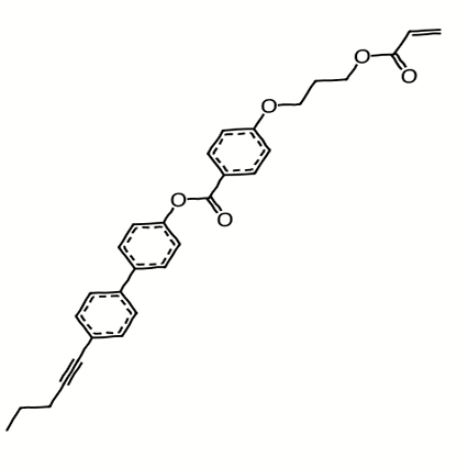 C=CC(=O)OCCCOc1ccc(C(=O)Oc2ccc(-c3ccc(C#CCCC)cc3)cc2)cc1